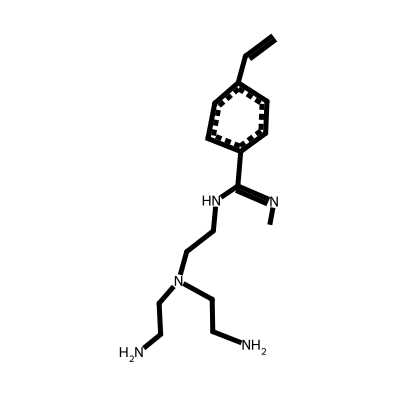 C=Cc1ccc(/C(=N/C)NCCN(CCN)CCN)cc1